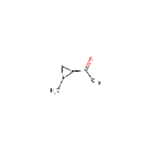 CC(=O)C1CC1C